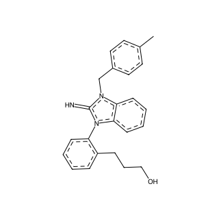 Cc1ccc(Cn2c(=N)n(-c3ccccc3CCCO)c3ccccc32)cc1